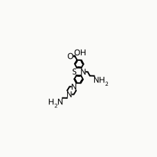 NCCCN1c2ccc(C(=O)O)cc2Sc2cc(N3CCN(CCN)CC3)ccc21